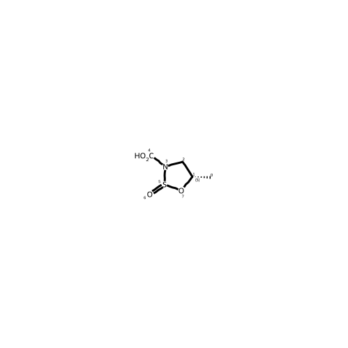 C[C@H]1CN(C(=O)O)S(=O)O1